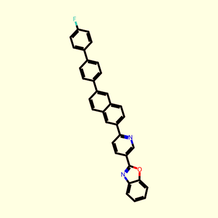 Fc1ccc(-c2ccc(-c3ccc4cc(-c5ccc(-c6nc7ccccc7o6)cn5)ccc4c3)cc2)cc1